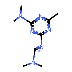 Cc1nc(/N=C/N(C)C)nc(N(C)C)n1